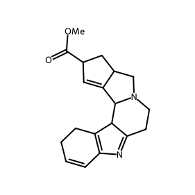 COC(=O)C1C=C2C(C1)CN1CCC3=NC4=C(CCC=C4)C3C21